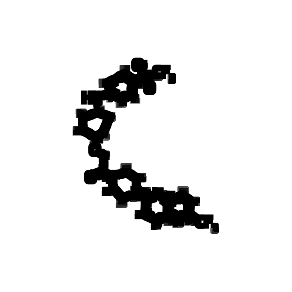 O=C(CO[C@H]1CC[C@H](Nc2ccc(S(=O)(=O)C(F)(F)F)cc2)CC1)N1CCN(c2ccc3cc(C(F)(F)F)ccc3n2)CC1